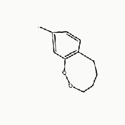 [CH2]c1ccc2c(c1)OOCCCC2